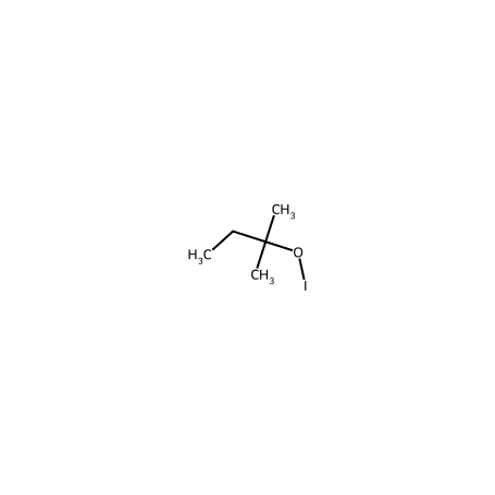 CCC(C)(C)OI